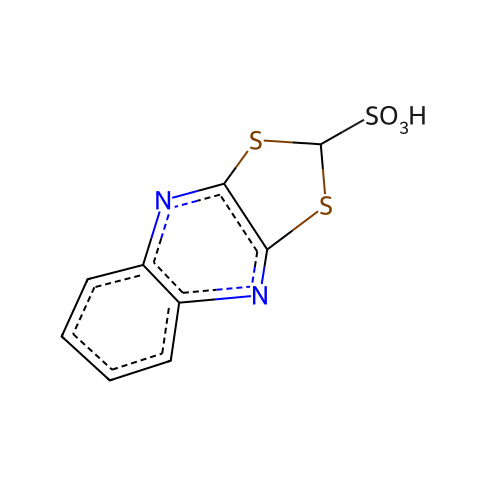 O=S(=O)(O)C1Sc2nc3ccccc3nc2S1